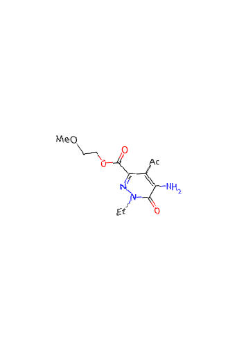 CCn1nc(C(=O)OCCOC)c(C(C)=O)c(N)c1=O